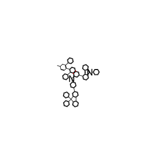 CC1C=CC(c2ccccc2-c2ccccc2N(c2ccc(-c3ccc4c(c3)C(c3ccccc3)(c3ccccc3)c3ccccc3-4)cc2)c2cccc(-c3cccc4c3c3ccccc3n4-c3ccccc3)c2)=C(c2ccccc2)C1